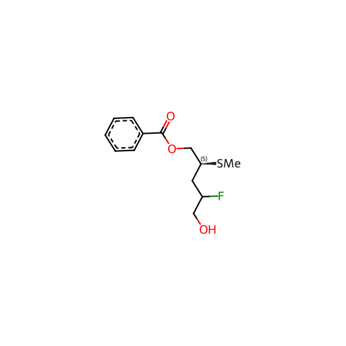 CS[C@H](COC(=O)c1ccccc1)CC(F)CO